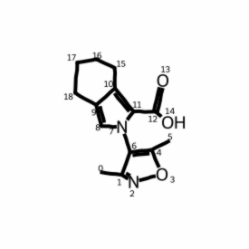 Cc1noc(C)c1-n1cc2c(c1C(=O)O)CCCC2